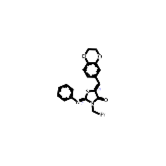 CC(C)CN1C(=O)/C(=C/c2ccc3c(c2)OCCO3)S/C1=N\c1ccccc1